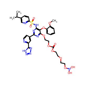 COc1ccccc1Oc1c(NS(=O)(=O)c2ccc(C(C)C)cn2)nc(-c2ccnc(-c3nnn[nH]3)c2)nc1OCCOC(=O)OCCOCCON(O)O